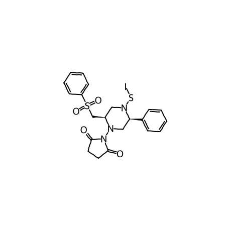 O=C1CCC(=O)N1N1C[C@H](c2ccccc2)N(SI)C[C@@H]1CS(=O)(=O)c1ccccc1